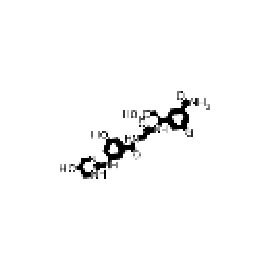 NC(=O)c1cc(Cl)cc([C@H](CC(=O)O)NC(=O)CNC(=O)c2cc(O)cc(NC3=NCC(O)CN3)c2)c1